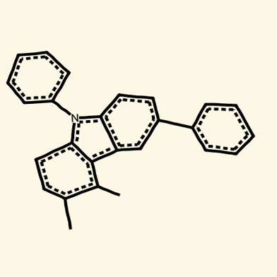 Cc1ccc2c(c1C)c1cc(-c3ccccc3)ccc1n2-c1ccccc1